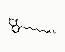 C=CCCCCCCOc1cccc(CN)c1F